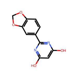 Oc1cc(O)nc(-c2ccc3c(c2)OCO3)n1